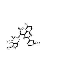 CCn1ncc(CN(C)C(=O)c2nc(-c3cccc(O)c3)nc3ccc(Cl)c(C)c23)c1C